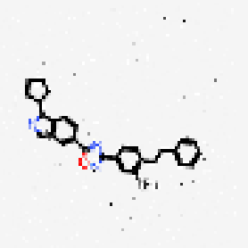 CC(C)(C)c1cc(-c2noc(-c3ccc4c(c3)C=NC4C3CCCC3)n2)ccc1CCc1ccccc1